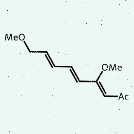 COC/C=C/C=C/C(=C/C(C)=O)OC